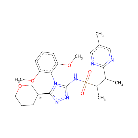 COc1cccc(OC)c1-n1c(NS(=O)(=O)C(C)C(C)c2ncc(C)cn2)nnc1[C@H]1CCCOC1